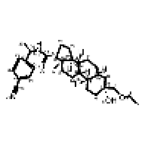 CCOC[C@@]1(O)CC[C@H]2[C@H](CC[C@@H]3[C@@H]2CC[C@]2(C)[C@@H](C(=O)N[C@H](C)c4ccc(C#N)cc4)CC[C@@H]32)C1